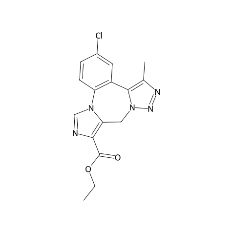 CCOC(=O)c1ncn2c1Cn1nnc(C)c1-c1cc(Cl)ccc1-2